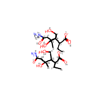 CCC(C(=O)[O-])C(CO)C(C)(O)CC(N)=O.CCC(C(=O)[O-])C(CO)C(C)(O)CC(N)=O.[Ca+2]